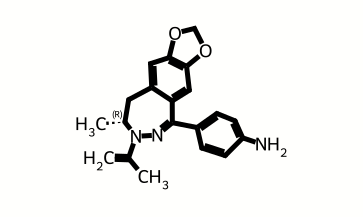 C=C(C)N1N=C(c2ccc(N)cc2)c2cc3c(cc2C[C@H]1C)OCO3